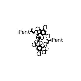 CCCC(C)C(C)COC(=O)c1c(Cl)c(Cl)cc(Cl)c1OC(=O)C(=O)Oc1c(Cl)cc(Cl)c(Cl)c1C(=O)OCC(C)C(C)CCC